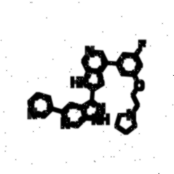 Fc1cc(OCCN2CCCC2)cc(-c2cncc3[nH]c(-c4n[nH]c5cnc(-c6cccnc6)cc45)cc23)c1